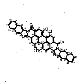 O=c1c2cc(Cl)c3c4c(Cl)cc5c(=O)n6c7cc8ccccc8cc7nc6c6cc(Cl)c(c7c(Cl)cc(c2c37)c2nc3cc7ccccc7cc3n12)c4c56